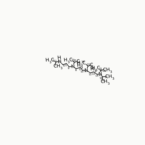 CC(C)NCCCN(CCCN(CCCN(C(C)C)C(C)C)C(C)C)C(C)C